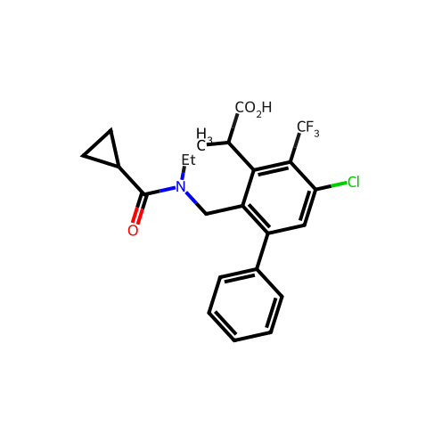 CCN(Cc1c(-c2ccccc2)cc(Cl)c(C(F)(F)F)c1C(C)C(=O)O)C(=O)C1CC1